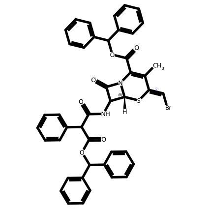 CC1=C(C(=O)OC(c2ccccc2)c2ccccc2)N2C(=O)C(NC(=O)C(C(=O)OC(c3ccccc3)c3ccccc3)c3ccccc3)[C@H]2S/C1=C\Br